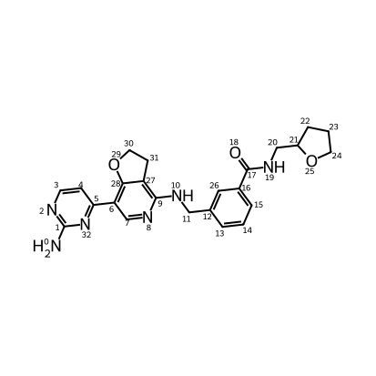 Nc1nccc(-c2cnc(NCc3cccc(C(=O)NCC4CCCO4)c3)c3c2OCC3)n1